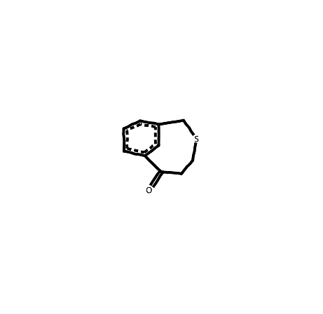 O=C1CCSCc2cccc1c2